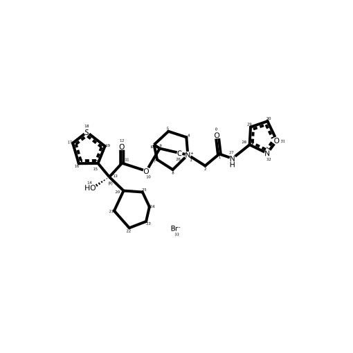 O=C(C[N+]12CCC(CC1)C(OC(=O)[C@](O)(c1ccsc1)C1CCCCC1)C2)Nc1ccon1.[Br-]